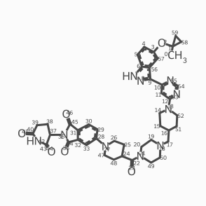 CC1(Oc2ccc3[nH]nc(-c4cc(N5CCC(CN6CCN(C(=O)C7CCN(c8ccc9c(c8)C(=O)N(C8CCC(=O)NC8=O)C9=O)CC7)CC6)CC5)ncn4)c3c2)CC1